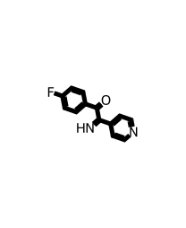 N=C(C(=O)c1ccc(F)cc1)c1ccncc1